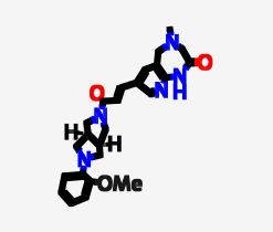 COc1ccccc1N1C[C@H]2CN(C(=O)/C=C/c3cnc4c(c3)CN(C)CC(=O)N4)C[C@H]2C1